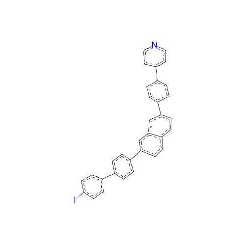 Ic1ccc(-c2ccc(-c3ccc4ccc(-c5ccc(-c6ccncc6)cc5)cc4c3)cc2)cc1